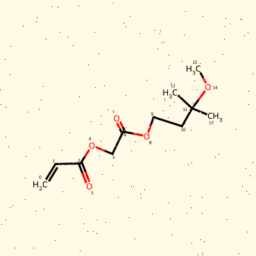 C=CC(=O)OCC(=O)OCCC(C)(C)OC